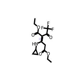 CCOC(=O)C/C(NC1CC1)=C(/C(=O)OCC)C(=O)C(F)(F)F